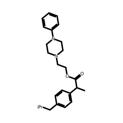 CC(C)Cc1ccc(C(C)C(=O)OCCN2CCN(c3ccccc3)CC2)cc1